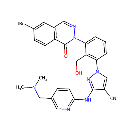 CN(C)Cc1ccc(Nc2nn(-c3cccc(-n4ncc5cc(C(C)(C)C)ccc5c4=O)c3CO)cc2C#N)nc1